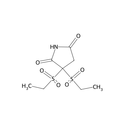 CCS(=O)(=O)C1(S(=O)(=O)CC)CC(=O)NC1=O